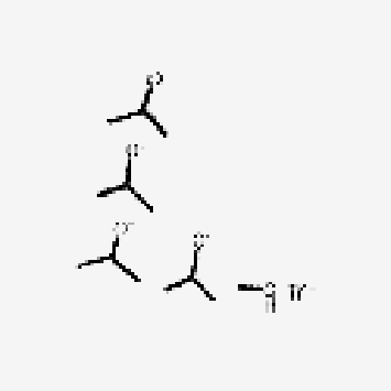 CC(C)[O-].CC(C)[O-].CC(C)[O-].CC(C)[O-].CO.[Ti+4]